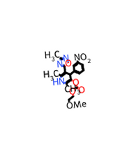 COCCOC(=O)OC1=C(C)NC(C)=C(c2nc(C)no2)C1c1cccc([N+](=O)[O-])c1